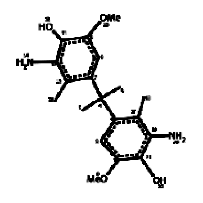 COc1cc(C(C)(C)c2cc(OC)c(O)c(N)c2C)c(C)c(N)c1O